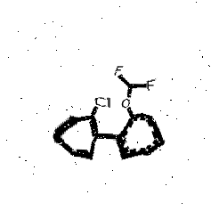 FC(F)Oc1ccccc1C1=C(Cl)CCC=C1